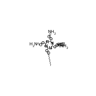 CCCCCCCCCCCOc1cccc(C2=C3C=CC(=N3)C(c3cccc(OC(C)(C)C(C)CN)c3)=C3C=CC(=N3)C(c3cccc(OC(C)(C)C(C)CN)c3)=C3C=CC(=N3)C(c3cccc(OC(C)(C)C(C)CN)c3)=C3C=CC2=N3)c1.Cl.Cl.Cl